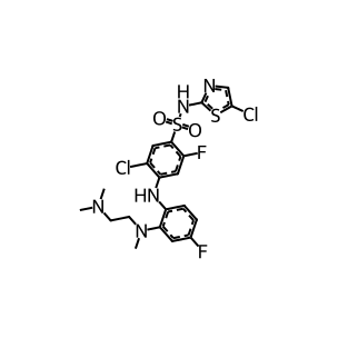 CN(C)CCN(C)c1cc(F)ccc1Nc1cc(F)c(S(=O)(=O)Nc2ncc(Cl)s2)cc1Cl